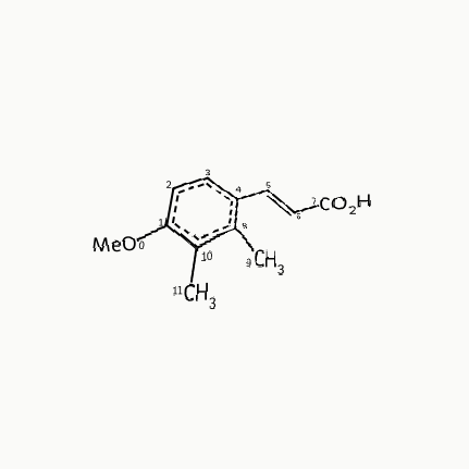 COc1ccc(C=CC(=O)O)c(C)c1C